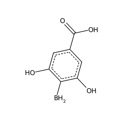 Bc1c(O)cc(C(=O)O)cc1O